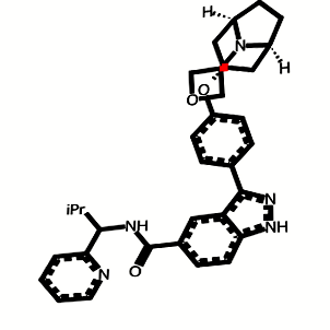 CC(C)C(NC(=O)c1ccc2[nH]nc(-c3ccc(O[C@@H]4C[C@H]5CC[C@@H](C4)N5C4COC4)cc3)c2c1)c1ccccn1